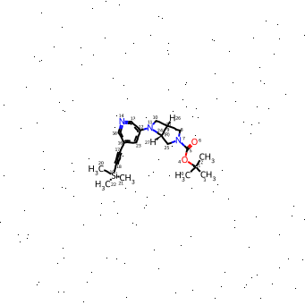 CC(C)(C)OC(=O)N1C[C@H]2CN(c3cncc(C#C[Si](C)(C)C)c3)[C@H]2C1